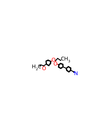 C=CC(=O)c1ccc(OC(CCC)Oc2ccc(-c3ccc(C#N)cc3)cc2)cc1